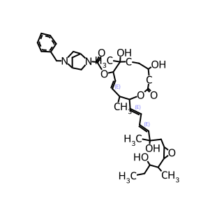 CCC(O)C(C)C1OC1CC(C)(O)/C=C/C=C/C1OC(=O)CC(O)CCC(C)(O)C(OC(=O)N2CC3CC2CN3Cc2ccccc2)/C=C/C1C